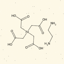 NCCN.O=C(O)[CH2][Fe]([CH2]C(=O)O)([CH2]C(=O)O)[CH2]C(=O)O